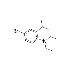 CCN(CC)c1ccc(Br)cc1C(C)C